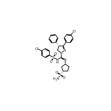 NS(=O)(=O)[C@H]1CC[C@H](/N=C(\NS(=O)(=O)c2ccc(Cl)cc2)N2C[C@H](c3ccccc3)C(c3ccc(Cl)cc3)=N2)C1